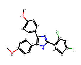 COc1ccc(-c2nc(-c3ccc(Cl)cc3Cl)[nH]c2-c2ccc(OC)cc2)cc1